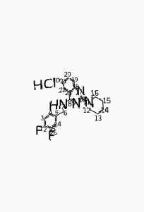 Cl.Fc1ccc(CNc2nc(N3CCCCC3)nc3ccccc23)cc1F